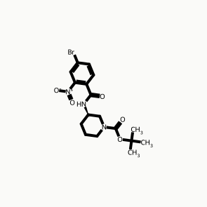 CC(C)(C)OC(=O)N1CCC[C@@H](NC(=O)c2ccc(Br)cc2[N+](=O)[O-])C1